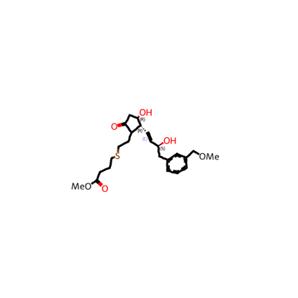 COCc1cccc(C[C@H](O)/C=C/[C@@H]2C(CCSCCCC(=O)OC)C(=O)C[C@H]2O)c1